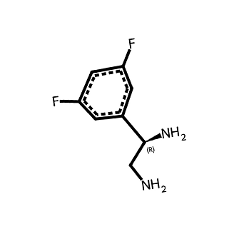 NC[C@H](N)c1cc(F)cc(F)c1